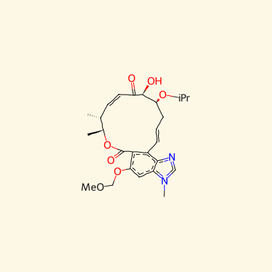 COCOc1cc2c(ncn2C)c2c1C(=O)O[C@@H](C)[C@H](C)/C=C\C(=O)[C@@H](O)[C@@H](OC(C)C)C/C=C/2